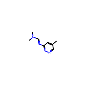 Cc1cnnc(N=CN(C)C)c1